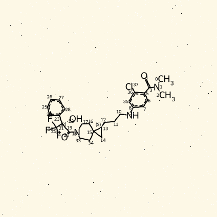 CN(C)C(=O)c1ccc(NCCC[C@H]2CC23CCN(C(=O)[C@](O)(c2ccccc2)C(F)(F)F)CC3)cc1Cl